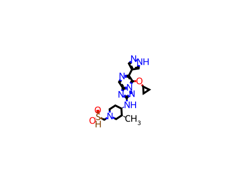 C[C@@H]1CN(C[SH](=O)=O)CC[C@@H]1Nc1nc2cnc(-c3cn[nH]c3)c(OC3CC3)n2n1